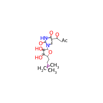 C=P(C)(C)CCC1OC(n2cc(C(=O)CC(C)=O)c(=O)[nH]c2=O)[C@H](O)[C@@H]1O